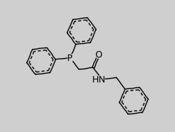 O=C(CP(c1ccccc1)c1ccccc1)NCc1ccccc1